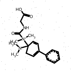 CN(C)C1([N+](C)(C)C(=O)NCC(=O)O)C=CC(c2ccccc2)=CC1